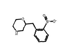 O=[N+]([O-])c1ccc[c]c1CC1CNCCO1